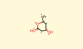 CCCC1CC(O)CC(O)O1